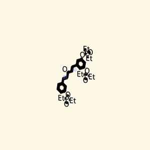 CCP(=O)(CC)Oc1cccc(/C=C/C(=O)/C=C/c2cc(OP(=O)(CC)CC)cc(OP(=O)(CC)CC)c2)c1